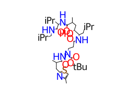 Cc1csc(CC(C)C(=O)NN(CCC(=O)NC(CC(C)C)C(O)CC(C)C(=O)NC(C(=O)NCC(C)C)C(C)C)C(=O)OC(C)(C)C)n1